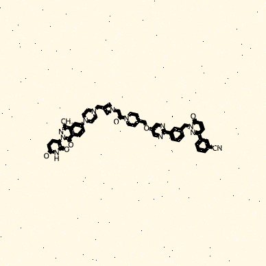 Cc1nn(C2CCC(=O)NC2=O)c(=O)c2ccc(N3CCN(CC4CN(CC(=O)N5CCC(COc6cnc(-c7cccc(Cn8nc(-c9cccc(C#N)c9)ccc8=O)c7)nc6)CC5)C4)CC3)cc12